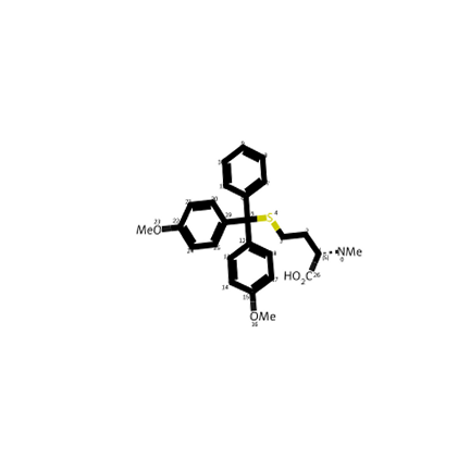 CN[C@@H](CCSC(c1ccccc1)(c1ccc(OC)cc1)c1ccc(OC)cc1)C(=O)O